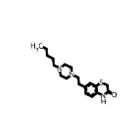 CCCCCN1CCN(CCc2ccc3c(c2)SCC(=O)N3)CC1